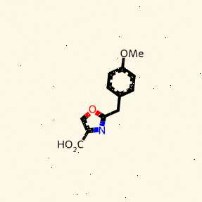 COc1ccc(Cc2nc(C(=O)O)co2)cc1